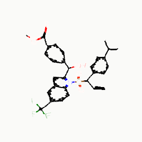 C=CC(c1ccc(C(C)C)cc1)S(=O)(=O)n1c(C(O)c2ccc(C(=O)OC)cc2)cc2cc(C(F)(F)F)ccc21